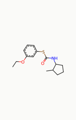 CCOc1cccc(SC(=O)NC2CCCC2C)c1